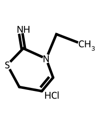 CCN1C=CCSC1=N.Cl